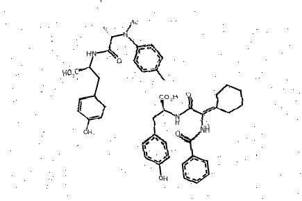 CC(=O)N(c1ccc(C)cc1)[C@@H](C)C(=O)N[C@@H](CC1C=CC(O)=CC1)C(=O)O.O=C(N[C@@H](Cc1ccc(O)cc1)C(=O)O)C(NC(=O)c1ccccc1)=C1CCCCC1